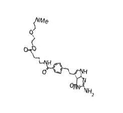 CNCCOCCOC(=O)CCCNC(=O)c1ccc(CCC2=CNC3N=C(N)NC(=O)C23)cc1